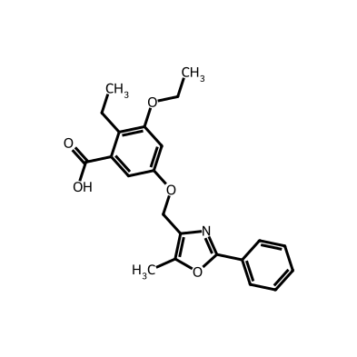 CCOc1cc(OCc2nc(-c3ccccc3)oc2C)cc(C(=O)O)c1CC